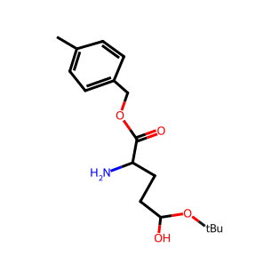 Cc1ccc(COC(=O)C(N)CCC(O)OC(C)(C)C)cc1